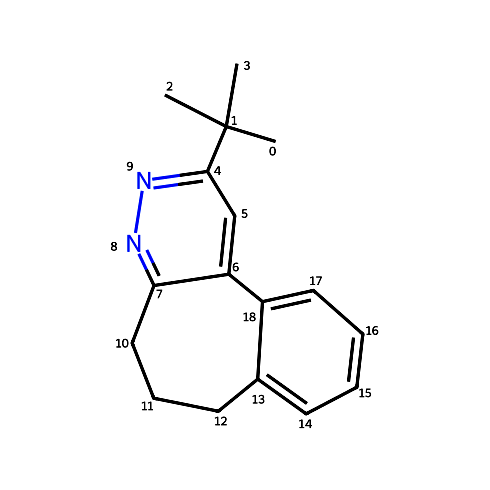 CC(C)(C)c1cc2c(nn1)CCCc1ccccc1-2